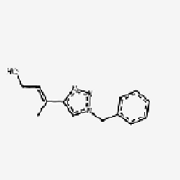 C/C(=C\CO)c1cn(Cc2ccccc2)nn1